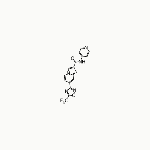 O=C(Nc1ccncc1)c1cn2ccc(-c3noc(C(F)(F)F)n3)cc2n1